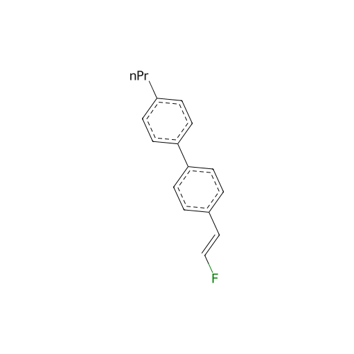 CCCc1ccc(-c2ccc(C=CF)cc2)cc1